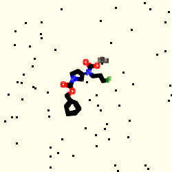 CC(C)(C)OC(=O)N(CCCF)[C@H]1CCN(C(=O)OCc2ccccc2)C1